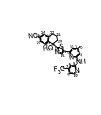 Cc1cc(Nc2cc(C(F)(F)F)ccn2)nc(-c2cnc([C@@]3(O)CCCc4cc(C#N)ccc43)s2)c1